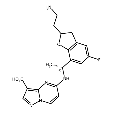 C[C@@H](Nc1ccn2ncc(C(=O)O)c2n1)c1cc(F)cc2c1OC(CCN)C2